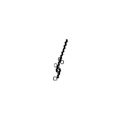 CCCCCCCCCCCCOC(=O)CCC(=O)N1CCN(CCCCl)CC1